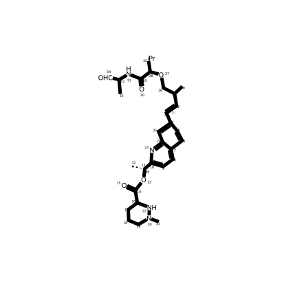 CC(/C=C/c1ccc2ccc([C@@H](C)OC(=O)C3CCCN(C)N3)nc2c1)COC(C(=O)NC(C)C=O)C(C)C